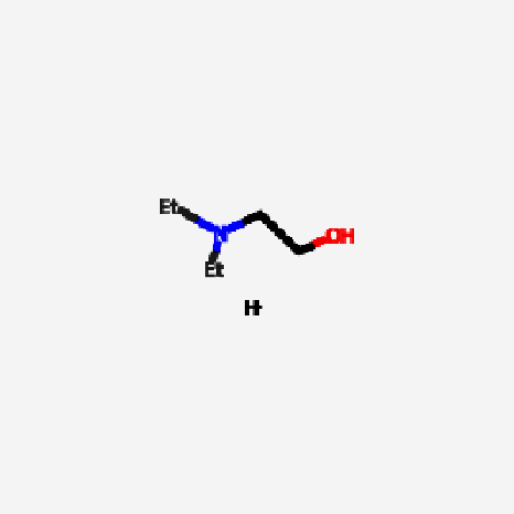 CCN(CC)CCO.[H]